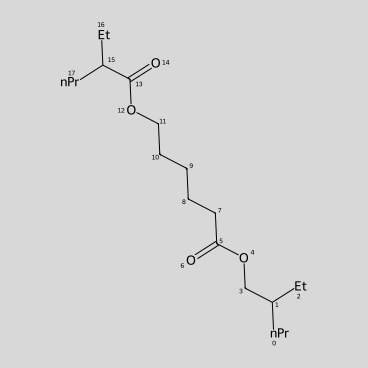 CCCC(CC)COC(=O)CCCCCOC(=O)C(CC)CCC